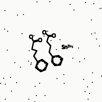 O=C([O-])CCCc1ccccc1.O=C([O-])CCCc1ccccc1.[Sn+2]